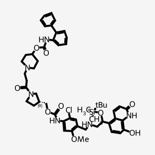 COc1cc(NC(=O)OC[C@@H]2CCN(C(=O)CCN3CCC(OC(=O)Nc4ccccc4-c4ccccc4)CC3)C2)c(Cl)cc1CNCC(O[Si](C)(C)C(C)(C)C)c1ccc(O)c2[nH]c(=O)ccc12